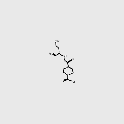 C=C[C@H](CCSC)NOC(=O)C1CCC(C(=O)Cl)CC1